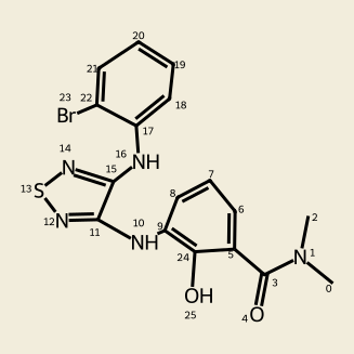 CN(C)C(=O)c1cccc(Nc2nsnc2Nc2ccccc2Br)c1O